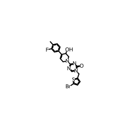 Cc1ccc(C2=CCN(c3ncn(Cc4ccc(Br)s4)c(=O)n3)CC2O)cc1F